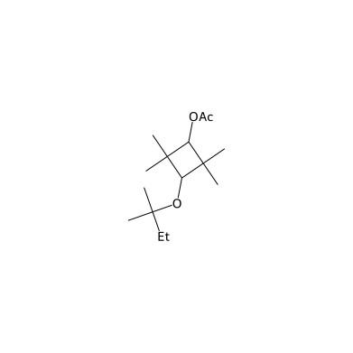 CCC(C)(C)OC1C(C)(C)C(OC(C)=O)C1(C)C